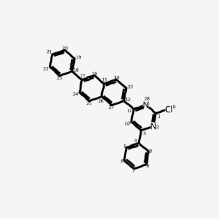 Clc1nc(-c2ccccc2)cc(-c2ccc3cc(-c4ccccc4)ccc3c2)n1